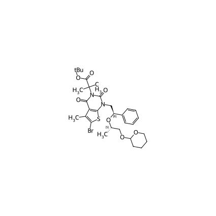 Cc1c(Br)sc2c1c(=O)n(C(C)(C)C(=O)OC(C)(C)C)c(=O)n2C[C@H](O[C@@H](C)COC1CCCCO1)c1ccccc1